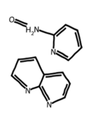 C=O.Nc1ccccn1.c1cnc2ncccc2c1